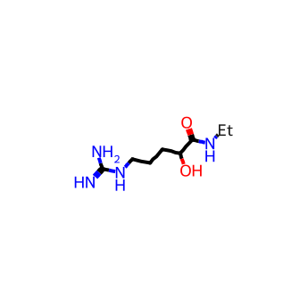 CCNC(=O)C(O)CCCNC(=N)N